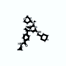 CN(c1nc(NCC2CCCCC2)cn2c(-c3ccc(C(=O)NC4CC4)cc3)cnc12)C1CCOCC1